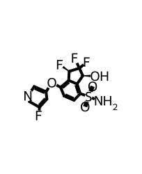 NS(=O)(=O)c1ccc(Oc2cncc(F)c2)c2c1[C@H](O)C(F)(F)[C@@H]2F